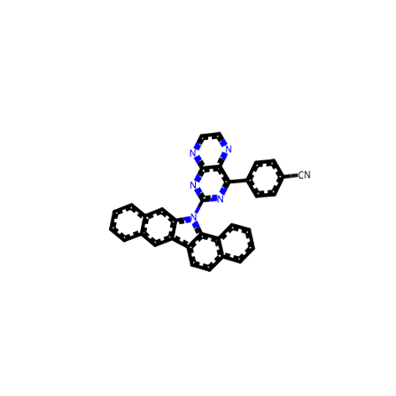 N#Cc1ccc(-c2nc(-n3c4cc5ccccc5cc4c4ccc5ccccc5c43)nc3nccnc23)cc1